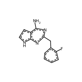 Nc1nc(Cc2ccccc2F)nc2[nH]ccc12